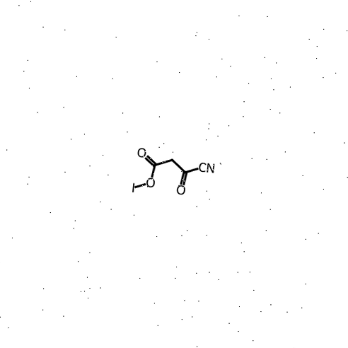 N#CC(=O)CC(=O)OI